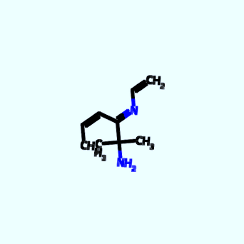 C=C/N=C(\C=C/C)C(C)(C)N